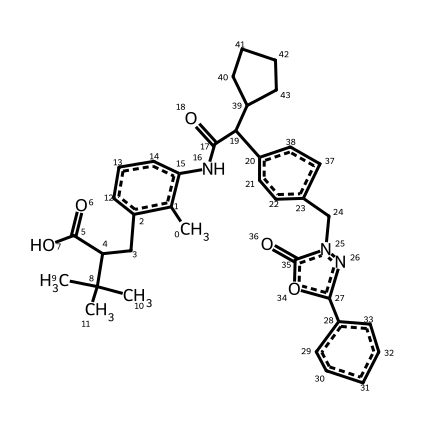 Cc1c(CC(C(=O)O)C(C)(C)C)cccc1NC(=O)C(c1ccc(Cn2nc(-c3ccccc3)oc2=O)cc1)C1CCCC1